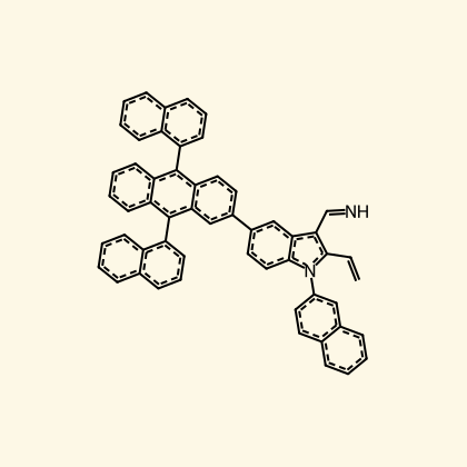 C=Cc1c(C=N)c2cc(-c3ccc4c(-c5cccc6ccccc56)c5ccccc5c(-c5cccc6ccccc56)c4c3)ccc2n1-c1ccc2ccccc2c1